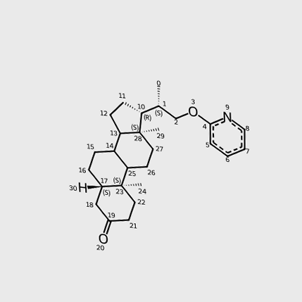 C[C@H](COc1ccccn1)[C@H]1CCC2C3CC[C@H]4CC(=O)CC[C@]4(C)C3CC[C@@]21C